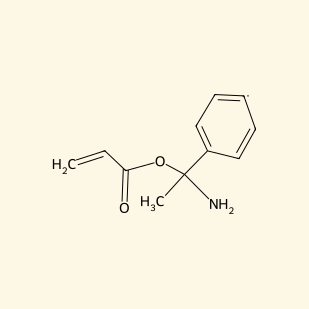 C=CC(=O)OC(C)(N)c1cc[c]cc1